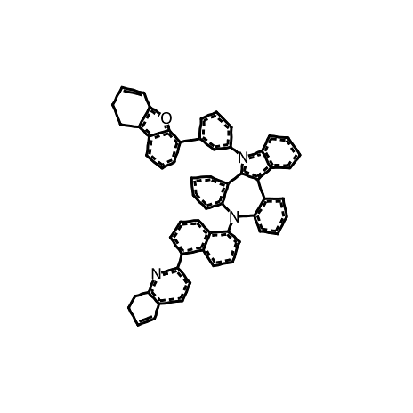 C1=Cc2ccc(-c3cccc4c(N5c6ccccc6-c6c(n(-c7cccc(-c8cccc9c%10c(oc89)C=CCC%10)c7)c7ccccc67)-c6ccccc65)cccc34)nc2CC1